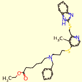 CCOC(=O)CCCCCN(CCCSc1ccnc(CSc2nc3ccccc3[nH]2)c1C)Cc1ccccc1